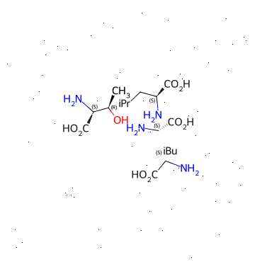 CC(C)C[C@H](N)C(=O)O.CC[C@H](C)[C@H](N)C(=O)O.C[C@@H](O)[C@H](N)C(=O)O.NCC(=O)O